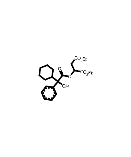 CCOC(=O)[CH]C(OC(=O)C(O)(c1ccccc1)C1CCCCC1)C(=O)OCC